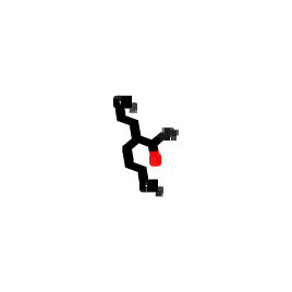 C=C/C=C\C(=C/C=C)C(=O)C(C)C